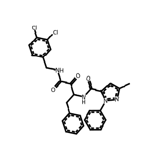 Cc1cc(C(=O)NC(Cc2ccccc2)C(=O)C(=O)NCc2ccc(Cl)c(Cl)c2)n(-c2ccccc2)n1